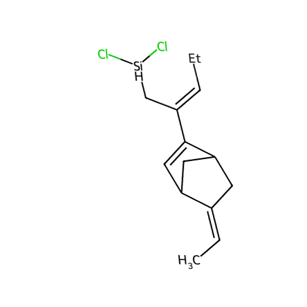 CC=C1CC2CC1C=C2C(=CCC)C[SiH](Cl)Cl